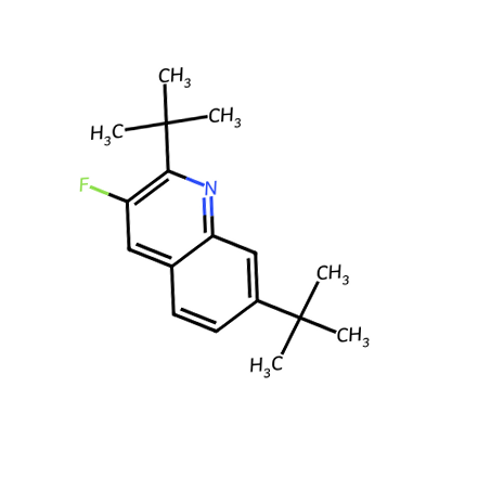 CC(C)(C)c1ccc2cc(F)c(C(C)(C)C)nc2c1